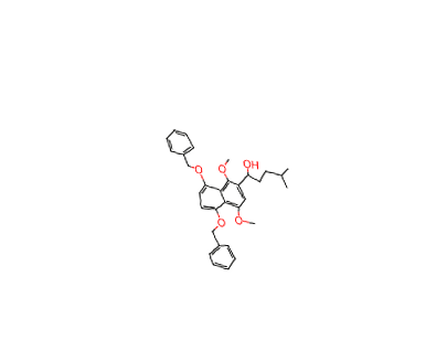 COc1cc(C(O)CCC(C)C)c(OC)c2c(OCc3ccccc3)ccc(OCc3ccccc3)c12